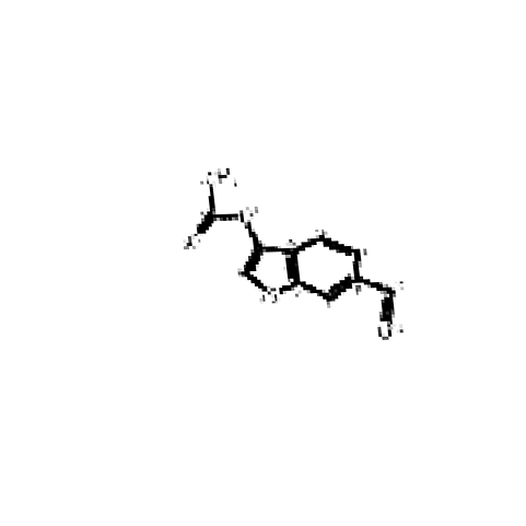 CC(=O)Oc1csc2cc(C=O)ccc12